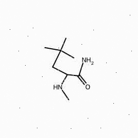 CNC(CC(C)(C)C)C(N)=O